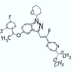 COC(OC)c1ccc(/C(F)=C/c2nn(C3CCCCO3)c3ccc(OC(C)c4ccc(F)cc4Cl)cc23)cn1